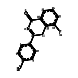 O=C1N=C(c2ccc(Br)cc2)Cc2c(F)cccc21